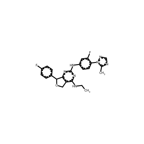 CCNc1nc(Nc2ccc(-n3ncnc3C)c(F)c2)nc2c1COC2c1ccc(F)cc1